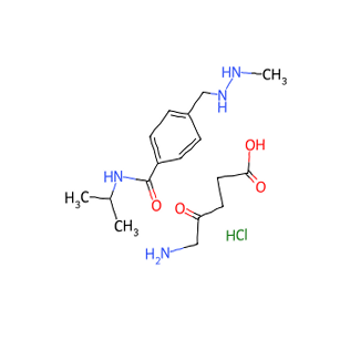 CNNCc1ccc(C(=O)NC(C)C)cc1.Cl.NCC(=O)CCC(=O)O